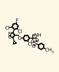 Cc1ccc(S(=O)(=O)OC2(c3ccc(OCc4c(-c5c(Cl)cc(F)cc5Cl)noc4C4CC4)cc3Cl)CNC2)cc1